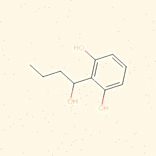 CCCC(O)c1c(O)cccc1O